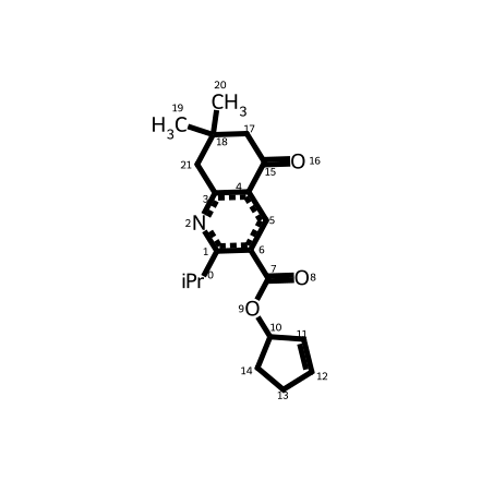 CC(C)c1nc2c(cc1C(=O)OC1C=CCC1)C(=O)CC(C)(C)C2